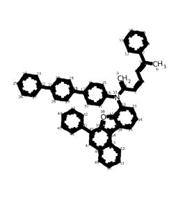 C=C(/C=C\C=C(/C)c1ccccc1)N(c1ccc(-c2ccc(-c3ccccc3)cc2)cc1)c1cccc2c1oc1c(-c3ccccc3)cc3ccccc3c12